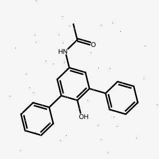 CC(=O)Nc1cc(-c2ccccc2)c(O)c(-c2ccccc2)c1